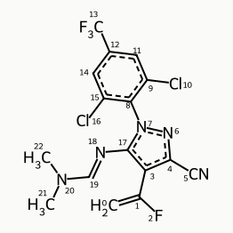 C=C(F)c1c(C#N)nn(-c2c(Cl)cc(C(F)(F)F)cc2Cl)c1N=CN(C)C